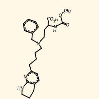 CC(C)(C)OC(=O)NC(CCN(CCCCc1ccc2c(n1)NCCC2)Cc1ccccc1)C(=O)O